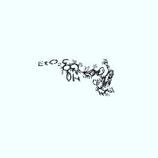 CCOC(=O)c1ccc(O)c2nc(C34CCC(OCc5c(-c6c(Cl)cncc6Cl)noc5C5CC5)(CC3)CC4)ccc12